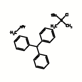 CC(C)(C)[Si](C)(C)Cl.[CH2]CCC.c1ccc([C](c2ccccc2)c2ccccc2)cc1